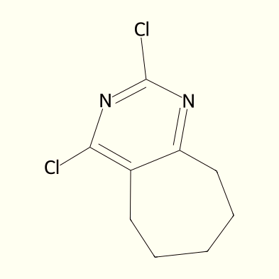 Clc1nc(Cl)c2c(n1)CCCCC2